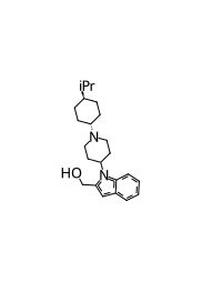 CC(C)[C@H]1CC[C@H](N2CCC(n3c(CO)cc4ccccc43)CC2)CC1